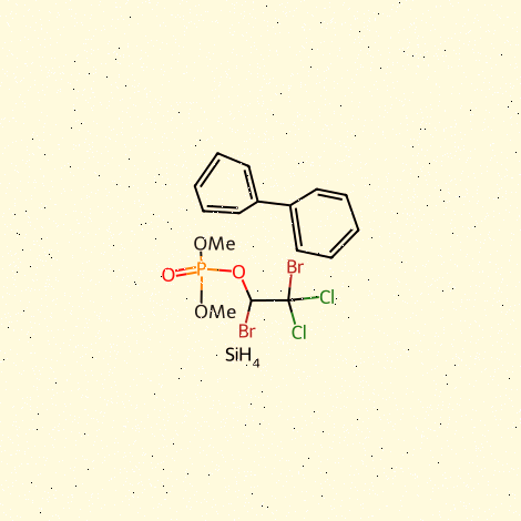 COP(=O)(OC)OC(Br)C(Cl)(Cl)Br.[SiH4].c1ccc(-c2ccccc2)cc1